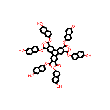 O=C(Oc1ccc2cc(O)ccc2c1)c1cc2c3cc(C(=O)Oc4ccc5cc(O)ccc5c4)c(C(=O)Oc4ccc5cc(O)ccc5c4)cc3c3cc(C(=O)Oc4ccc5cc(O)ccc5c4)c(C(=O)Oc4ccc5cc(O)ccc5c4)cc3c2cc1C(=O)Oc1ccc2cc(O)ccc2c1